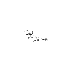 [N-]=[N+]=NC[C@H]1CN(c2cc(F)c(N3C4CCC3CSC4)c(F)c2)C(=O)O1